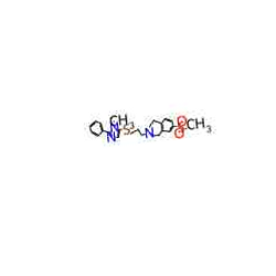 CCS(=O)(=O)c1ccc2c(c1)CCN(CCCSc1cnc(-c3ccccc3)n1C)CC2